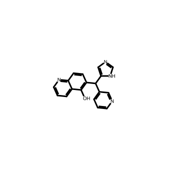 Oc1c(C(c2cccnc2)c2cnc[nH]2)ccc2ncccc12